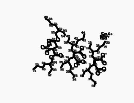 CCCCC(CC)C/C(C(=O)[O-])=C(\CC(CC)CCCC)C(=O)[O-].CCCCC(CC)C/C(C(=O)[O-])=C(\CC(CC)CCCC)C(=O)[O-].CCCCC(CC)COC(=O)CC(C(=O)OCC(CC)CCCC)S(=O)(=O)[O-].[Na+].[Sn+4]